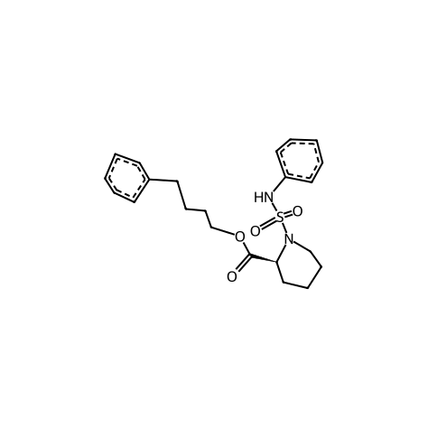 O=C(OCCCCc1ccccc1)[C@@H]1CCCCN1S(=O)(=O)Nc1ccccc1